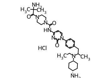 CCN(C(C)Cc1ccc(-n2ccc(NC(=O)N3CCN(C(=O)C(C)(C)N)CC3)nc2=O)cc1)[C@H]1CC[C@H](N)CC1.Cl